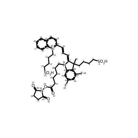 CC1(CCCCS(=O)(=O)O)C(=CC=Cc2ccc3ccccc3[n+]2CCCCS(=O)(=O)O)N(CCCCCC(=O)ON2C(=O)CCC2=O)c2cc(F)cc(F)c21